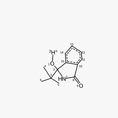 [2H]OC1(C(C)(C)C)NC(=O)c2ccccc21